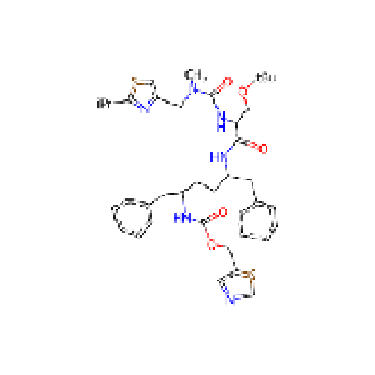 CC(C)c1nc(CN(C)C(=O)NC(COC(C)(C)C)C(=O)NC(CCC(Cc2ccccc2)NC(=O)OCc2cncs2)Cc2ccccc2)cs1